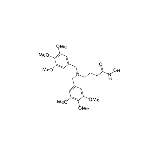 COc1cc(CN(CCCC(=O)NO)Cc2cc(OC)c(OC)c(OC)c2)cc(OC)c1OC